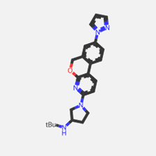 CC(C)(C)NC1CCN(c2ccc3c(n2)OCc2cc(-n4cccn4)ccc2-3)C1